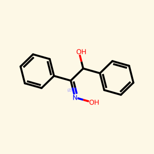 O/N=C(/c1ccccc1)C(O)c1ccccc1